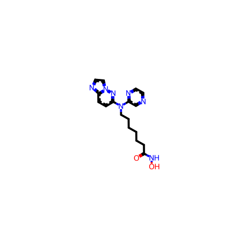 O=C(CCCCCCN(c1cnccn1)c1ccc2nccn2n1)NO